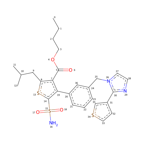 CCCCOC(=O)c1c(CC(C)C)sc(S(N)(=O)=O)c1-c1cccc(Cn2ccnc2-c2ccsc2)c1